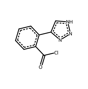 O=C(Cl)c1ccccc1-c1c[nH]nn1